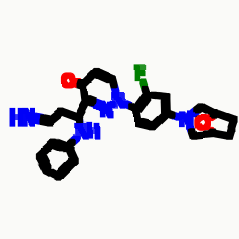 N=CCC(Nc1ccccc1)c1nn(-c2ccc(N3CC4CCC(C3)O4)cc2F)ccc1=O